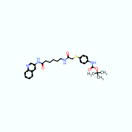 CC(C)(C)OC(=O)Nc1ccc(SCC(=O)NCCCCCC(=O)Nc2cnc3ccccc3c2)cc1